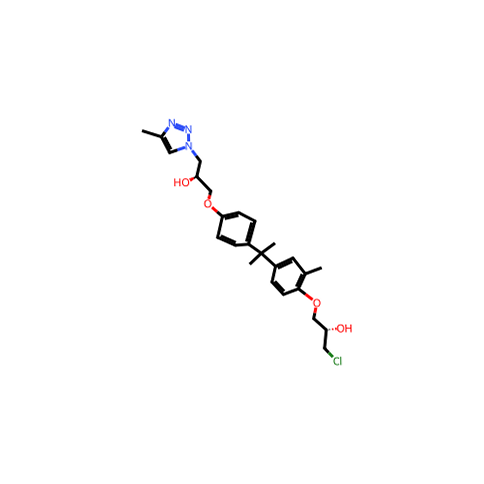 Cc1cn(C[C@H](O)COc2ccc(C(C)(C)c3ccc(OC[C@H](O)CCl)c(C)c3)cc2)nn1